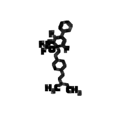 CCC(C)CCC1CCC(CCC2(OC(F)(F)F)C(F)=CC(c3ccccc3)=C(F)C2F)CC1